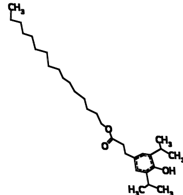 CCCCCCCCCCCCCCCCOC(=O)CCc1cc(C(C)C)c(O)c(C(C)C)c1